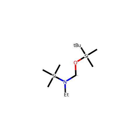 CCN([CH]O[Si](C)(C)C(C)(C)C)[Si](C)(C)C